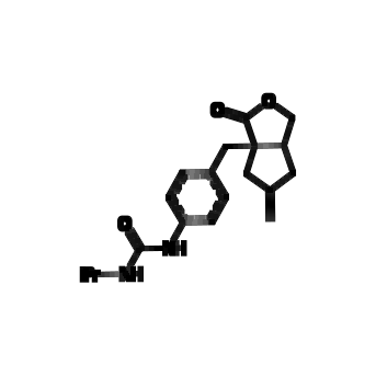 C=C1CC2COC(=O)C2(Cc2ccc(NC(=O)NC(C)C)cc2)C1